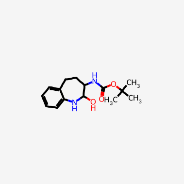 CC(C)(C)OC(=O)NC1CCc2ccccc2NC1O